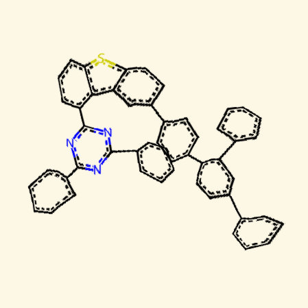 c1ccc(-c2ccc(-c3ccc(-c4ccc5sc6cccc(-c7nc(-c8ccccc8)nc(-c8ccccc8)n7)c6c5c4)cc3)c(-c3ccccc3)c2)cc1